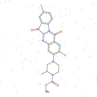 CC1CN(c2cc3nc4n(c(=O)c3cc2F)-c2ccc(I)cc2C4=O)CCN1C(=O)OC(C)(C)C